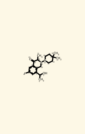 CC(O)c1cc(F)cc2c1CN(N1CCC(C)(C)CC1)C(C)C2=O